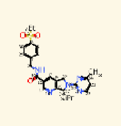 CCS(=O)(=O)c1ccc(CNC(=O)c2cnc3c(c2)CN(c2nccc(C)n2)[C@H]3C(C)C)cc1